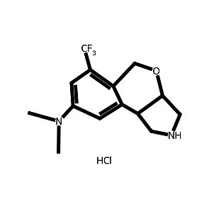 CN(C)c1cc2c(c(C(F)(F)F)c1)COC1CNCC21.Cl